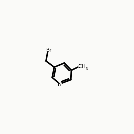 Cc1cncc(CBr)c1